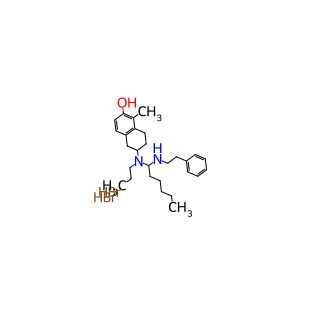 Br.Br.CCCCCC(NCCc1ccccc1)N(CCC)C1CCc2c(ccc(O)c2C)C1